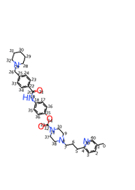 Cc1ccc(CCCN2CCN(C(=O)Oc3ccc(NC(=O)c4ccc(CN5CCCCC5)cc4)cc3)CC2)nc1